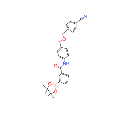 CC1(C)OB(c2cccc(C(=O)Nc3ccc(COCc4ccc(C#N)cc4)cc3)c2)OC1(C)C